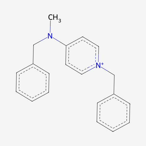 CN(Cc1ccccc1)c1cc[n+](Cc2ccccc2)cc1